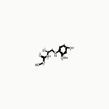 CC[C@@H](CNc1ccc(O)cc1OC)NC(=O)OC(C)(C)C